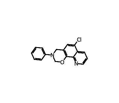 Clc1cc2c(c3ncccc13)OCN(c1ccccc1)C2